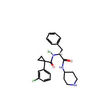 O=C(NC1CCNCC1)[C@H](Cc1ccccc1)N(Br)C(=O)C1(c2cccc(F)c2)CC1